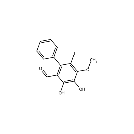 COc1c(O)c(O)c(C=O)c(-c2ccccc2)c1I